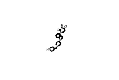 O=C1CCN(c2cccc3c2ccn3C2CCN(CC3CCNCC3)CC2)C(=O)N1